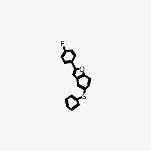 Fc1ccc(-c2cc3cc(Sc4ccccc4)ccc3o2)cc1